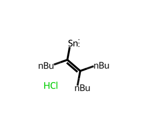 CCCC[C]([Sn])=C(CCCC)CCCC.Cl